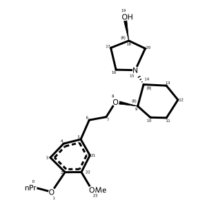 CCCOc1ccc(CCO[C@@H]2CCCC[C@H]2N2CC[C@@H](O)C2)cc1OC